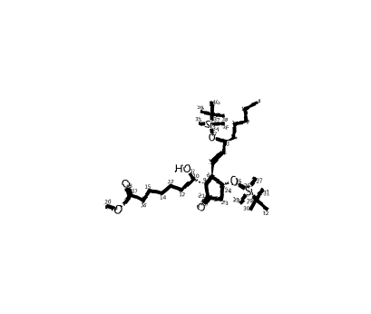 CCCCC[C@@H](/C=C/[C@@H]1[C@@H](C(O)CCCCCC(=O)OC)C(=O)C[C@H]1O[Si](C)(C)C(C)(C)C)O[Si](C)(C)C(C)(C)C